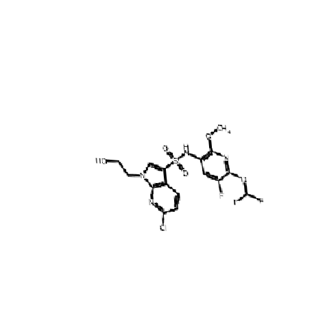 COc1nc(OC(F)F)c(F)cc1NS(=O)(=O)c1cn(CCO)c2nc(Cl)ccc12